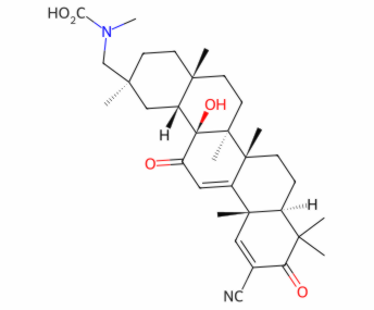 CN(C[C@@]1(C)CC[C@]2(C)CC[C@@]3(C)[C@]4(C)CC[C@H]5C(C)(C)C(=O)C(C#N)=C[C@]5(C)C4=CC(=O)[C@]3(O)[C@@H]2C1)C(=O)O